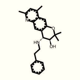 Cc1cc(C)c2cc3c(cc2n1)[C@@H](NCCc1ccccc1)[C@H](O)C(C)(C)O3